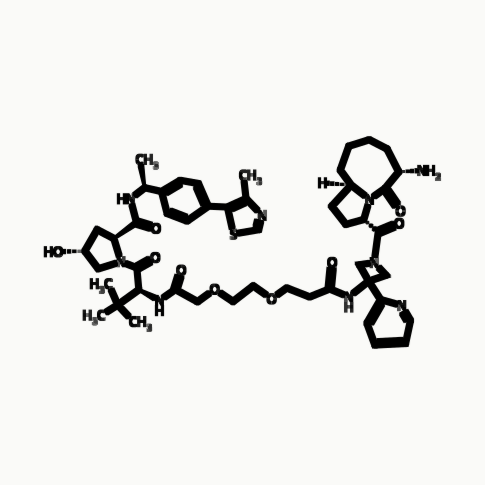 Cc1ncsc1-c1ccc([C@H](C)NC(=O)[C@@H]2C[C@@H](O)CN2C(=O)[C@@H](NC(=O)COCCOCCC(=O)NC2(c3ccccn3)CN(C(=O)[C@@H]3CC[C@H]4CCCC[C@H](N)C(=O)N43)C2)C(C)(C)C)cc1